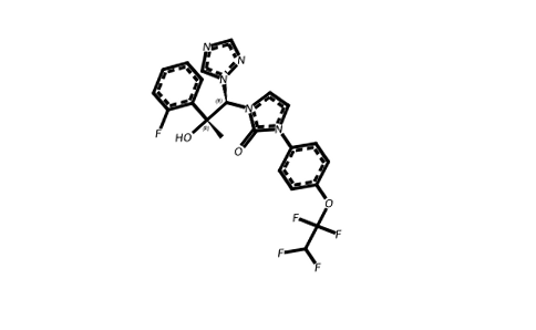 C[C@@](O)(c1ccccc1F)[C@@H](n1cncn1)n1ccn(-c2ccc(OC(F)(F)C(F)F)cc2)c1=O